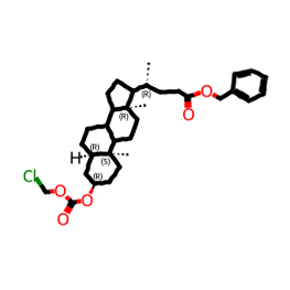 C[C@H](CCC(=O)OCc1ccccc1)C1CCC2C3CC[C@@H]4C[C@H](OC(=O)OCCl)CC[C@]4(C)C3CC[C@@]21C